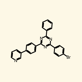 Brc1ccc(-c2nc(-c3ccccc3)nc(-c3ccc(-c4cccnc4)cc3)n2)cc1